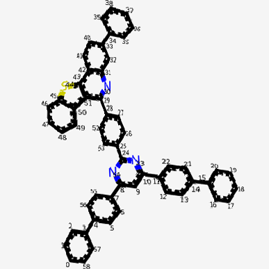 c1ccc(-c2ccc(-c3cc(-c4ccc(-c5ccccc5)cc4)nc(-c4ccc(-c5nc6cc(-c7ccccc7)ccc6c6sc7ccccc7c56)cc4)n3)cc2)cc1